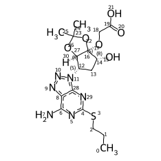 CCCSc1nc(N)c2nnn([C@H]3C[C@@H](O)[C@]4(OCC(=O)O)OC(C)(C)O[C@H]34)c2n1